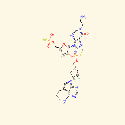 CSP(=N)(OC[C@@H]1C[C@@H](F)[C@H](n2cc3c4c(ncnc42)NCCC3)C1)O[C@@H]1[C@H](C)[C@@H](COP(=O)(O)S)O[C@H]1n1cnc2c(=O)n(CCN)cnc21